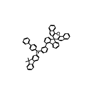 CC1(C)c2ccccc2-c2ccc(N(c3ccc(-c4ccccc4)cc3)c3cccc(-c4cccc5c4-c4ccccc4C54c5ccc6ccccc6c5Oc5c4ccc4ccccc54)c3)cc21